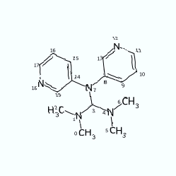 CN(C)C(N(C)C)N(c1cccnc1)c1cccnc1